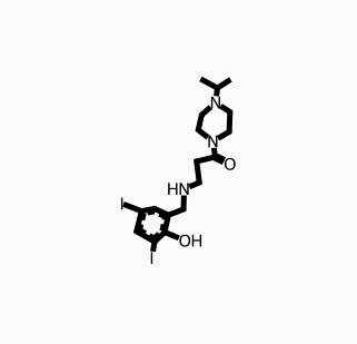 CC(C)N1CCN(C(=O)CCNCc2cc(I)cc(I)c2O)CC1